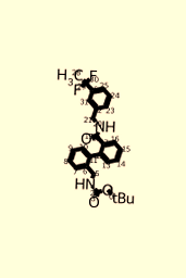 CC(C)(C)OC(=O)NCc1ccccc1-c1ccccc1C(=O)NCc1cccc(C(C)(F)F)c1